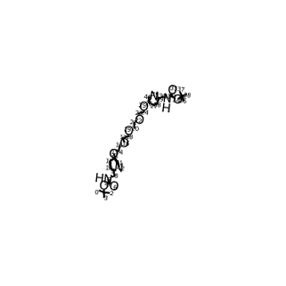 CC(C)(C)OC(=O)NCc1ccc(OCCOCCOCCOCCOc2ccc(CNC(=O)OC(C)(C)C)nc2)cn1